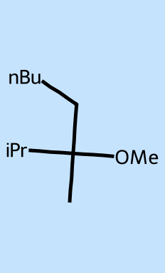 CCCCCC(C)(OC)C(C)C